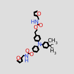 Cc1ccc(N(c2ccc(CCOC(=O)NCc3ccco3)cc2)c2ccc(OC(=O)NCc3ccco3)cc2)cc1C